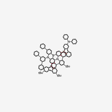 CC(C)(C)c1cc(-c2ccccc2)c(N2c3cc(-n4c5ccccc5c5cc(N(c6ccccc6)c6ccccc6)ccc54)ccc3B3c4ccc(-c5ccccc5)cc4N(c4cc(-c5ccccc5)cc(-c5ccccc5)c4)c4cc(-n5c6ccc(C(C)(C)C)cc6c6cc(C(C)(C)C)ccc65)cc2c43)c(-c2ccccc2)c1